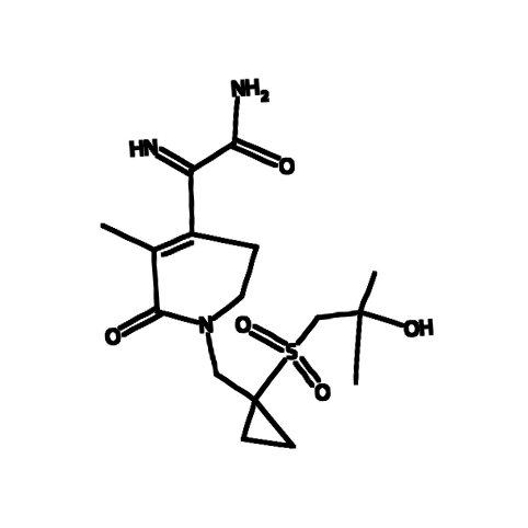 CC1=C(C(=N)C(N)=O)CCN(CC2(S(=O)(=O)CC(C)(C)O)CC2)C1=O